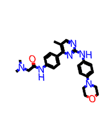 Cc1cnc(Nc2ccc(N3CCOCC3)cc2)nc1-c1ccc(NC(=O)CN(C)C)cc1